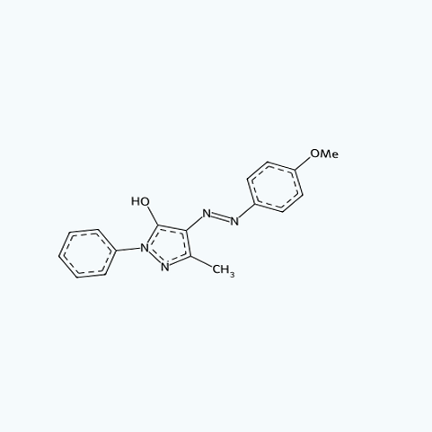 COc1ccc(N=Nc2c(C)nn(-c3ccccc3)c2O)cc1